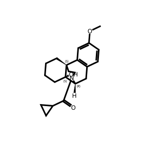 COc1ccc2c(c1)[C@@]13CCCC[C@@]1(O)[C@@H](C2)N(C(=O)C1CC1)CC3